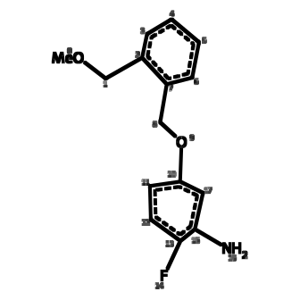 COCc1ccccc1COc1ccc(F)c(N)c1